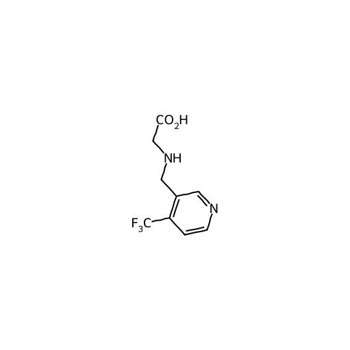 O=C(O)CNCc1cnccc1C(F)(F)F